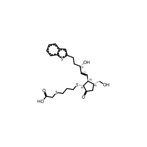 O=C(O)CSCCCS[C@H]1C(=O)C[C@@H](CO)[C@@H]1/C=C/[C@@H](O)CCc1cc2ccccc2s1